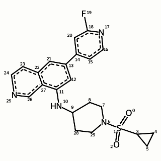 O=S(=O)(C1CC1)N1CCC(Nc2cc(-c3ccnc(F)c3)cc3ccncc23)CC1